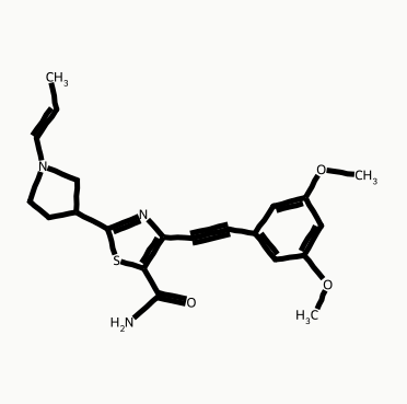 CC=CN1CCC(c2nc(C#Cc3cc(OC)cc(OC)c3)c(C(N)=O)s2)C1